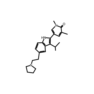 Cc1cc(-c2[nH]c3ccc(CCN4CCCC4)cc3c2C(C)C)cn(C)c1=O